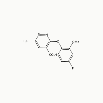 COc1cc(F)ccc1Oc1nnc(C(F)(F)F)cc1C(=O)O